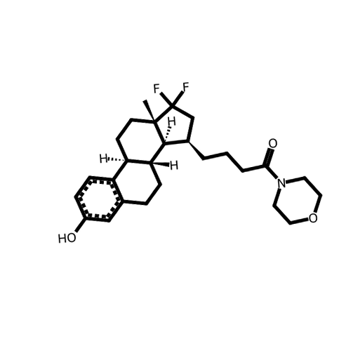 C[C@]12CC[C@@H]3c4ccc(O)cc4CC[C@H]3[C@@H]1[C@H](CCCC(=O)N1CCOCC1)CC2(F)F